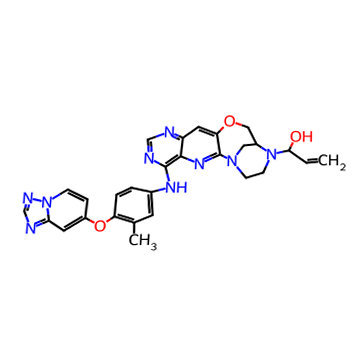 C=CC(O)N1CCN2CC1COc1cc3ncnc(Nc4ccc(Oc5ccn6ncnc6c5)c(C)c4)c3nc12